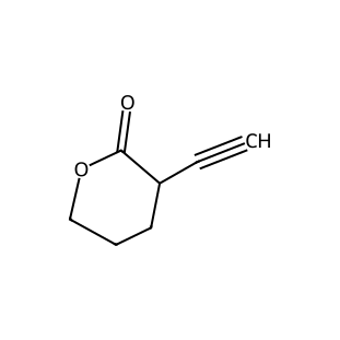 C#CC1CCCOC1=O